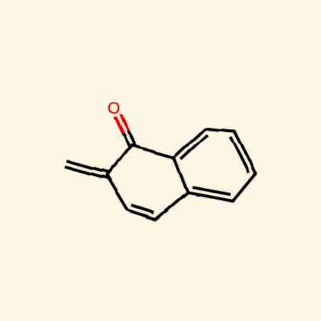 C=C1C=Cc2ccccc2C1=O